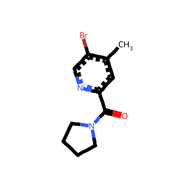 Cc1cc(C(=O)N2CCCC2)ncc1Br